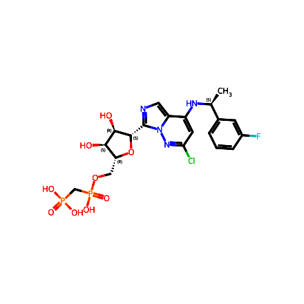 C[C@H](Nc1cc(Cl)nn2c([C@@H]3O[C@H](COP(=O)(O)CP(=O)(O)O)[C@@H](O)[C@H]3O)ncc12)c1cccc(F)c1